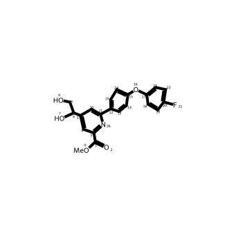 COC(=O)c1cc(C(O)CO)cc(-c2ccc(Oc3ccc(F)cc3)cc2)n1